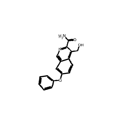 NC(=O)c1ncc2cc(Oc3ccccc3)ccc2c1CO